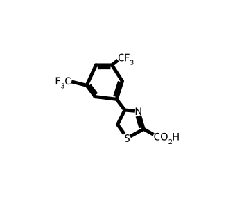 O=C(O)C1=NC(c2cc(C(F)(F)F)cc(C(F)(F)F)c2)CS1